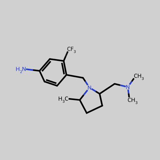 CC1CCC(CN(C)C)N1Cc1ccc(N)cc1C(F)(F)F